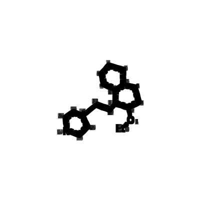 CCOc1ccc2ccccc2c1C=Cc1ccncc1